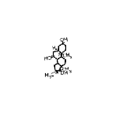 C[C@@H]1CC2C3C(CC[C@]2(C)[C@@H]1O)[C@@]1(C)CC[C@@H](O)C[C@H]1C[C@@H]3O